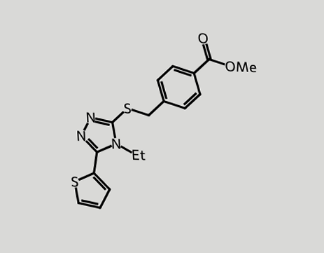 CCn1c(SCc2ccc(C(=O)OC)cc2)nnc1-c1cccs1